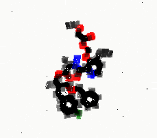 CCOCC(=O)OCOc1c(OC)ccnc1C(=O)N[C@@H](C)C(=O)O[C@@H](C)[C@@H](COCc1ccccc1)Cc1ccc(F)cc1